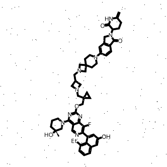 C=C1CCC(N2Cc3cc(N4CCC5(CC4)CN(CC4CN(CC6(COc7nc(N8CCC[C@@](C)(O)C8)c8cnc(-c9cc(O)cc%10cccc(CC)c9%10)c(F)c8n7)CC6)C4)C5)ccc3C2=O)C(=O)N1